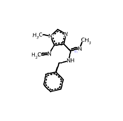 C=Nc1c(/C(=N\C)NCc2ccccc2)ncn1C